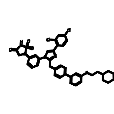 O=C1CN(c2cccc(-n3cc(-c4ccc(Cl)cc4Cl)nc3Cc3ccc(-c4cccc(SCCC5CCCCC5)c4)cc3)c2)S(=O)(=O)N1